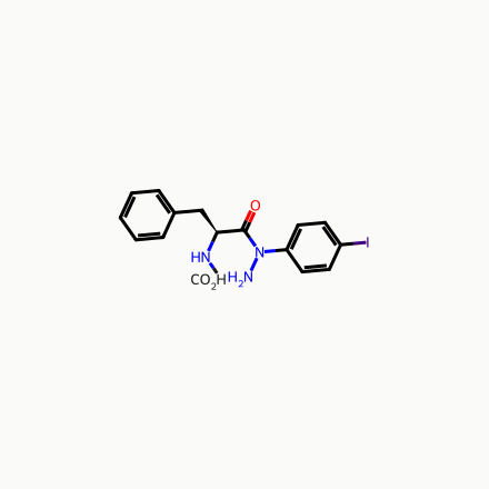 NN(C(=O)[C@H](Cc1ccccc1)NC(=O)O)c1ccc(I)cc1